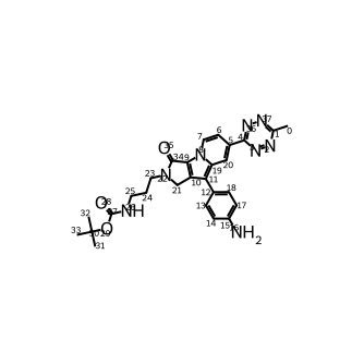 Cc1nnc(-c2ccn3c4c(c(-c5ccc(N)cc5)c3c2)CN(CCCNC(=O)OC(C)(C)C)C4=O)nn1